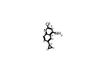 Nc1cc(C(F)(F)F)nc2ccc(C3CC3)cc12